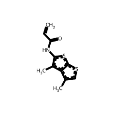 C=CC(=O)Nc1sc2scc(C)c2c1C